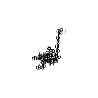 CC(C)[C@H](NC(=O)[C@H](CCC(=O)OC(C)(C)C)NC(=O)[C@H](CC(=O)OC(C)(C)C)NC(=O)OCC1c2ccccc2-c2ccccc21)C(=O)N[C@@H](CC(=O)OC(C)(C)C)C(=O)N[C@@H](CO)C(=O)NCCOCCOCCOCCOCCC(=O)OC(C)(C)C